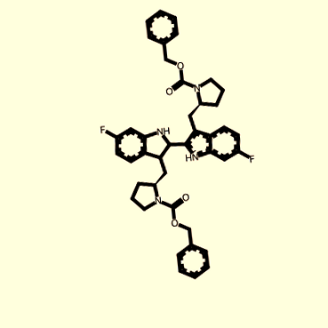 O=C(OCc1ccccc1)N1CCC[C@H]1Cc1c(C2Nc3cc(F)ccc3C2C[C@@H]2CCCN2C(=O)OCc2ccccc2)[nH]c2cc(F)ccc12